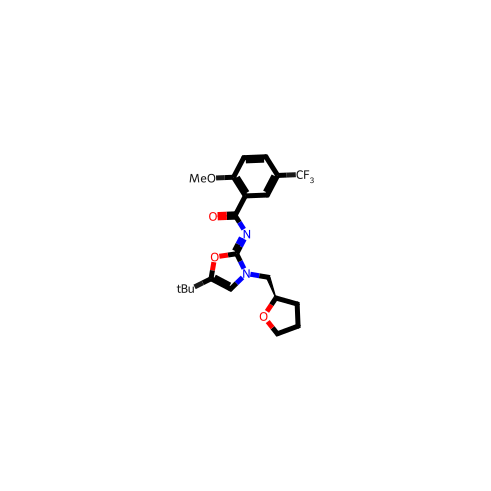 COc1ccc(C(F)(F)F)cc1C(=O)/N=c1\oc(C(C)(C)C)cn1C[C@H]1CCCO1